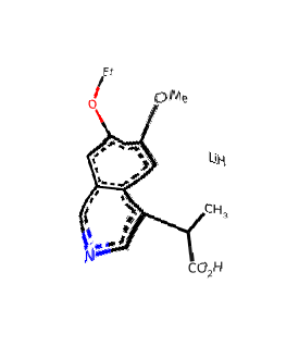 CCOc1cc2cncc(C(C)C(=O)O)c2cc1OC.[LiH]